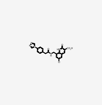 O=C(Cc1ccc(-n2cnnc2)cc1)NCc1cc(Cl)cc2cc(C(=O)O)c(=O)[nH]c12